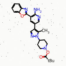 Cc1c(-c2cnc(N)c(-c3nc4ccccc4o3)c2)cnn1C1CCN(OC(=O)C(C)(C)C)CC1